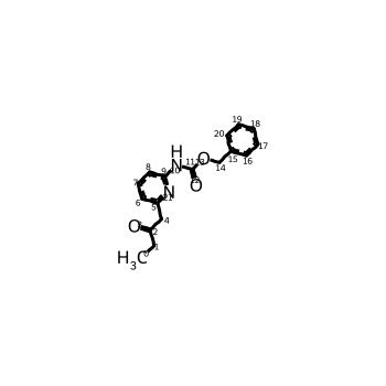 CCC(=O)Cc1cccc(NC(=O)OCc2ccccc2)n1